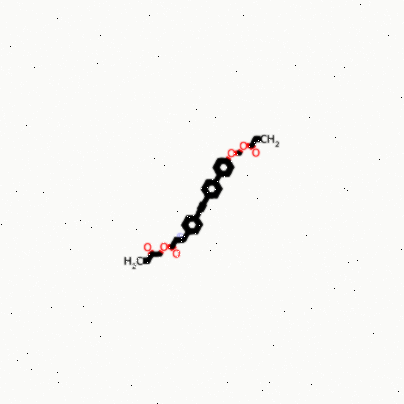 C=CC(=O)COC(=O)/C=C/c1ccc(C#Cc2ccc(-c3ccc(OCOC(=O)C=C)cc3)cc2)cc1